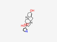 C[C@]12CC[C@H]3[C@@H](CCC4=C[C@@H](O)CC[C@@]43C)[C@@]1(O)CC[C@]2(O)c1cccnc1